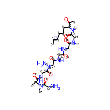 C/C=C/CCCC(C(C)=O)N(C)C(=O)CN(C)C(=O)CNC(=O)CNC(=O)CN(N)C(=O)CNC(=O)[C@H](C)N(C)C(=O)CN